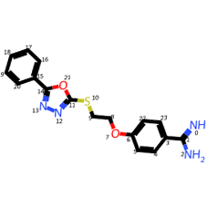 N=C(N)c1ccc(OCCSc2nnc(-c3ccccc3)o2)cc1